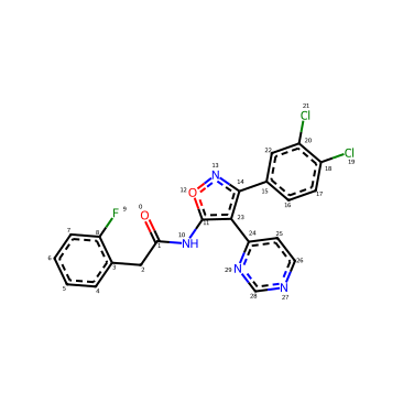 O=C(Cc1ccccc1F)Nc1onc(-c2ccc(Cl)c(Cl)c2)c1-c1ccncn1